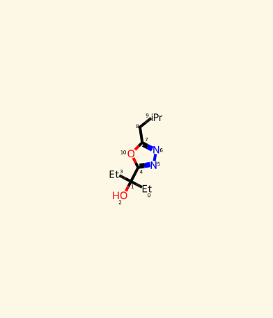 CCC(O)(CC)c1nnc(CC(C)C)o1